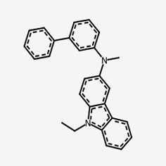 CCn1c2ccccc2c2cc(N(C)c3cccc(-c4ccccc4)c3)ccc21